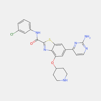 Nc1nccc(-c2cc(OC3CCNCC3)c3nc(C(=O)Nc4cccc(Cl)c4)sc3c2)n1